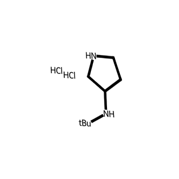 CC(C)(C)NC1CCNC1.Cl.Cl